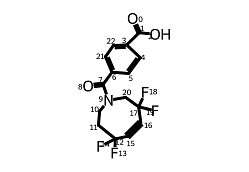 O=C(O)c1ccc(C(=O)N2CCC(F)(F)C#CC(F)(F)C2)cc1